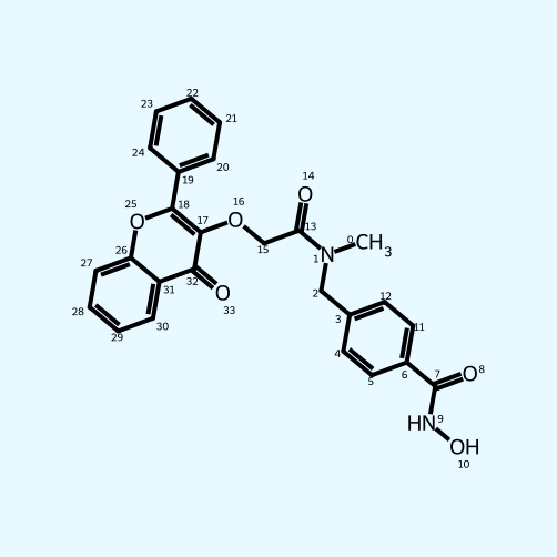 CN(Cc1ccc(C(=O)NO)cc1)C(=O)COc1c(-c2ccccc2)oc2ccccc2c1=O